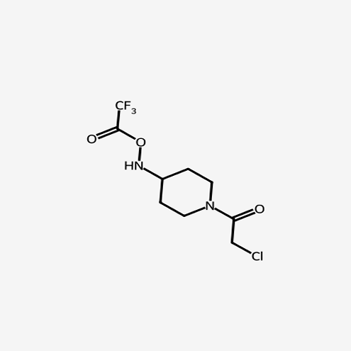 O=C(CCl)N1CCC(NOC(=O)C(F)(F)F)CC1